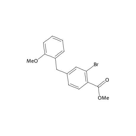 COC(=O)c1ccc(Cc2ccccc2OC)cc1Br